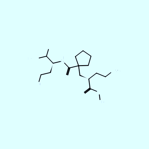 CCC(C(=O)O)[C@H](CCO)NC(=O)C1(C[C@@H](CCOC)C(=O)OC(C)(C)C)CCCC1